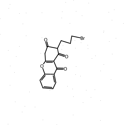 O=C1Cc2oc3ccccc3c(=O)c2C(=O)C1CCCBr